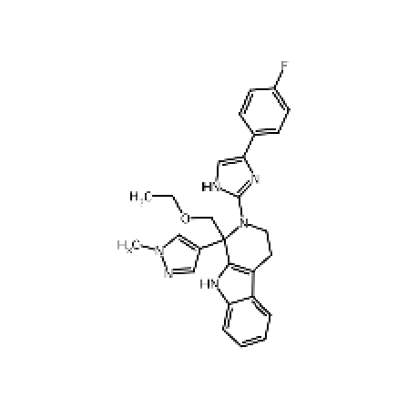 CCOCC1(c2cnn(C)c2)c2[nH]c3ccccc3c2CCN1c1nc(-c2ccc(F)cc2)c[nH]1